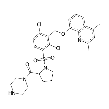 Cc1cc(C)c2cccc(OCc3c(Cl)ccc(S(=O)(=O)N4CCCC4C(=O)N4CCNCC4)c3Cl)c2n1